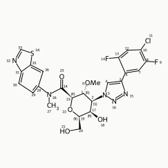 CO[C@@H]1[C@@H](n2cc(-c3cc(F)c(Cl)cc3F)nn2)[C@@H](O)[C@@H](CO)O[C@H]1C(=O)N(C)c1ccc2ncsc2c1